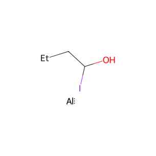 CCCC(O)I.[Al]